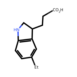 CCc1ccc2c(c1)C(CCC(=O)O)CN2